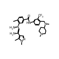 Cc1ccc(C(=O)Nc2ccc(CN(C)C3CCN(C)CC3)c(C(F)(F)F)c2)cc1N(N)/C=C(\N)c1cnn(C)c1C